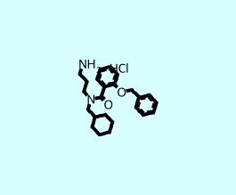 Cl.NCCCN(CC1CCCCC1)C(=O)c1ccccc1OCc1ccccc1